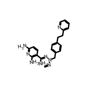 C=NN(Cc1ccc(CCc2ccccn2)cc1)/N=C(\N)c1ccc(N)nc1N